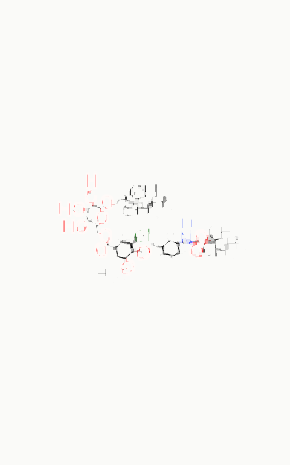 COc1cc(C(=O)OCC2O[C@@H](OCC[Si](C)(C)C)[C@H](O)[C@@H](O)[C@@H]2O)cc(Cl)c1OCc1cccc(NC(=O)OC(C)(C)C)c1